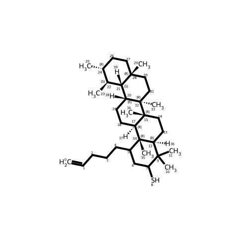 C=CCC[CH]C1CC(S)C(C)(C)[C@@H]2CC[C@]3(C)[C@H](CC[C@@H]4[C@@H]5[C@@H](C)[C@H](C)CC[C@]5(C)CC[C@]43C)[C@@]12C